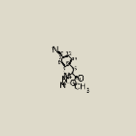 COC(=O)C(Cc1ccc(C#N)cc1)N=[N+]=[N-]